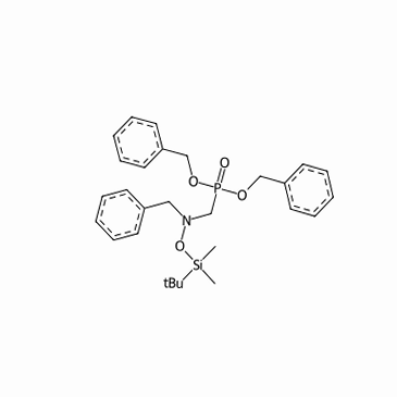 CC(C)(C)[Si](C)(C)ON(Cc1ccccc1)CP(=O)(OCc1ccccc1)OCc1ccccc1